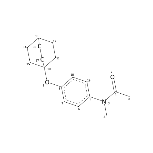 CC(=O)N(C)c1ccc(OC23CCC(CC2)CC3)cc1